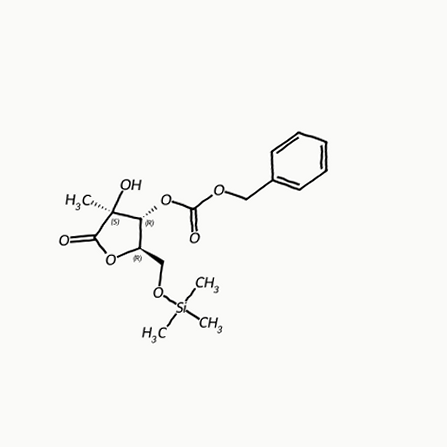 C[C@@]1(O)C(=O)O[C@H](CO[Si](C)(C)C)[C@H]1OC(=O)OCc1ccccc1